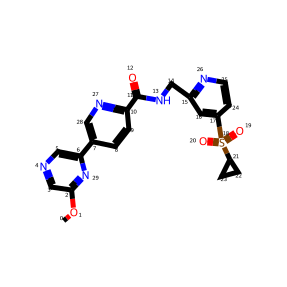 COc1cncc(-c2ccc(C(=O)NCc3cc(S(=O)(=O)C4CC4)ccn3)nc2)n1